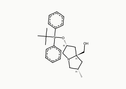 C[C@@H]1CN2C[C@H](O[Si](c3ccccc3)(c3ccccc3)C(C)(C)C)C[C@]2(CO)C1